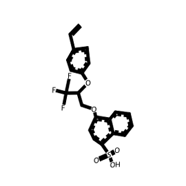 C=Cc1ccc(OC(COc2ccc(S(=O)(=O)O)c3ccccc23)C(F)(F)F)cc1